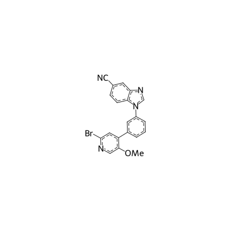 COc1cnc(Br)cc1-c1cccc(-n2cnc3cc(C#N)ccc32)c1